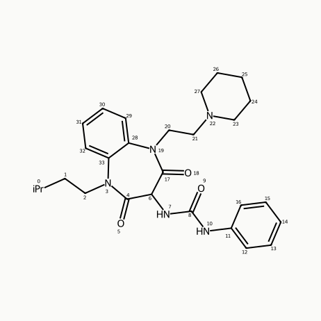 CC(C)CCN1C(=O)C(NC(=O)Nc2ccccc2)C(=O)N(CCN2CCCCC2)c2ccccc21